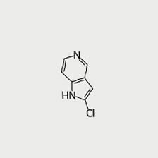 Clc1cc2cnccc2[nH]1